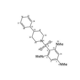 CNc1cc(NC)c(S(=O)(=O)N2CCC(C3C=CCC=C3)CC2)c(NC)c1